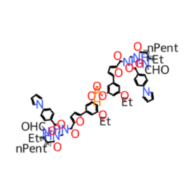 CCCCC[C@@H](C(=O)NCNC(=O)c1ccc(-c2cc(OCC)cc(O[PH](=O)Oc3cc(OCC)cc(-c4ccc(C(=O)NCNC(=O)[C@H](CCCCC)[C@@H](CC)N(C=O)OC(=O)c5ccc(-n6cccc6)cc5)o4)c3)c2)o1)[C@@H](CC)N(C=O)OC(=O)c1ccc(-n2cccc2)cc1